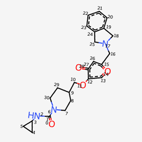 O=C(NC1CC1)N1CCC(COc2coc(CN3Cc4ccccc4C3)cc2=O)CC1